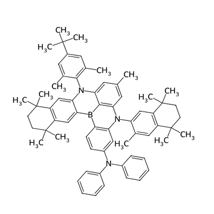 Cc1cc2c3c(c1)N(c1c(C)cc(C(C)(C)C)cc1C)c1cc4c(cc1B3c1ccc(N(c3ccccc3)c3ccccc3)cc1N2c1cc2c(cc1C)C(C)(C)CCC2(C)C)C(C)(C)CCC4(C)C